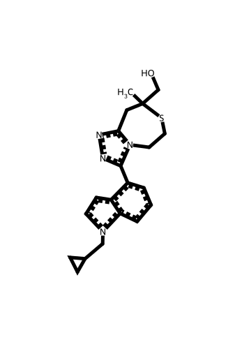 CC1(CO)Cc2nnc(-c3cccc4c3ccn4CC3CC3)n2CCS1